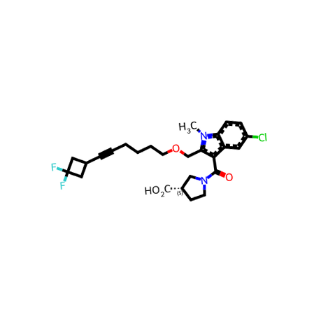 Cn1c(COCCCCC#CC2CC(F)(F)C2)c(C(=O)N2CC[C@H](C(=O)O)C2)c2cc(Cl)ccc21